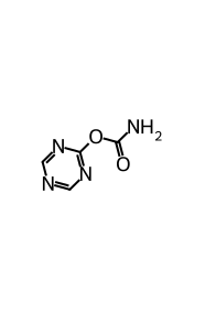 NC(=O)Oc1ncncn1